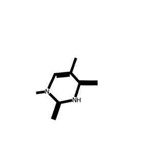 C=C1NC(=C)N(C)C=C1C